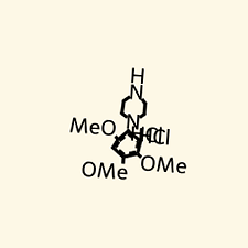 COc1cc(OC)c(N2CCNCC2)cc1OC.Cl.Cl